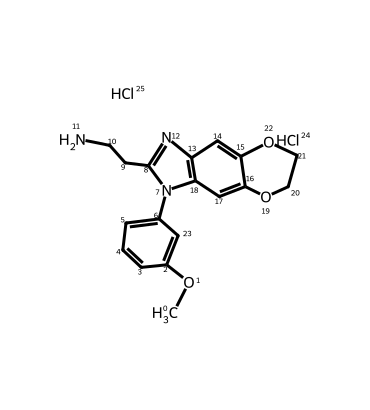 COc1cccc(-n2c(CCN)nc3cc4c(cc32)OCCO4)c1.Cl.Cl